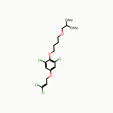 COC(COCCCCOc1c(Cl)cc(OCC=C(Cl)Cl)cc1Cl)OC